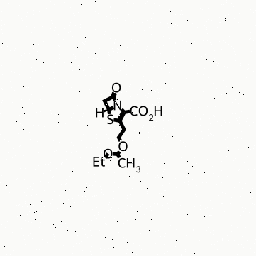 CCOC(C)OCCC1=C(C(=O)O)N2C(=O)C[C@H]2S1